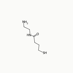 NCCNC(=O)CCCS